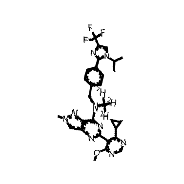 [2H]C([2H])([2H])N(Cc1ccc(-c2nc(C(F)(F)F)cn2C(C)C)cc1)c1nc(-c2c(OC)ncnc2C2CC2)nc2cn(C)nc12